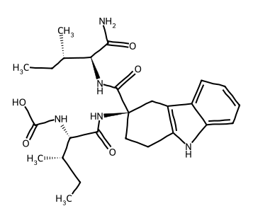 CC[C@H](C)[C@H](NC(=O)[C@@]1(NC(=O)[C@@H](NC(=O)O)[C@@H](C)CC)CCc2[nH]c3ccccc3c2C1)C(N)=O